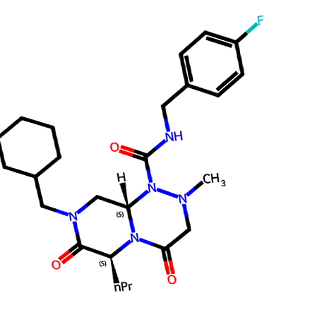 CCC[C@H]1C(=O)N(CC2CCCCC2)C[C@H]2N1C(=O)CN(C)N2C(=O)NCc1ccc(F)cc1